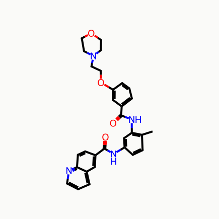 Cc1ccc(NC(=O)c2ccc3ncccc3c2)cc1NC(=O)c1cccc(OCCN2CCOCC2)c1